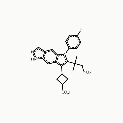 COCC(C)(C)c1c(C2CC(C(=O)O)C2)c2cc3[nH]ncc3cc2n1-c1ccc(F)cc1